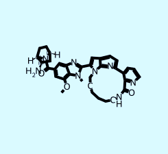 COc1cc(C(=O)N2[C@H]3CC[C@@H]2[C@H](N)C3)cc2nc(-c3cc4ccc5nc4n3CCCCCCNC(=O)c3ncccc3-5)n(C)c12